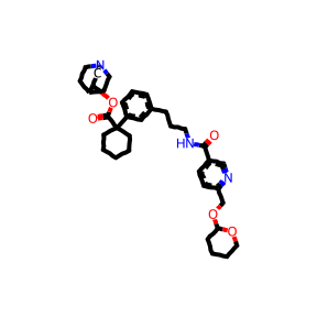 O=C(NCCCc1cccc(C2(C(=O)OC3CN4CCC3CC4)CCCCC2)c1)c1ccc(COC2CCCCO2)nc1